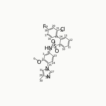 COc1cc(NS(=O)(=O)c2ccccc2-c2ccc(F)cc2Cl)ccc1-n1cnc(C)c1